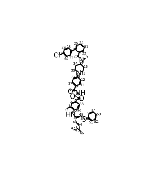 Cc1cc(S(=O)(=O)NC(=O)c2ccc(N3CCC(N(C)Cc4ccccc4-c4ccc(Cl)cc4)CC3)cc2)ccc1N[C@@H](CCN(C)C)CSc1ccccc1